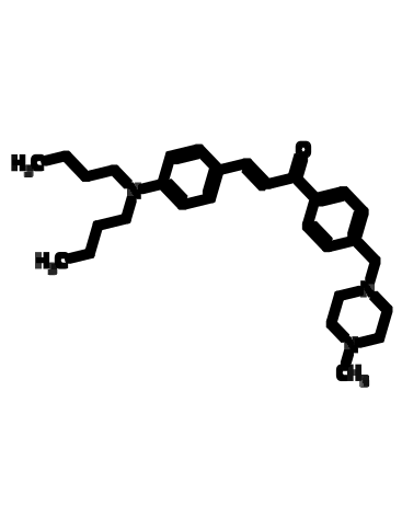 CCCCN(CCCC)c1ccc(C=CC(=O)c2ccc(CN3CCN(C)CC3)cc2)cc1